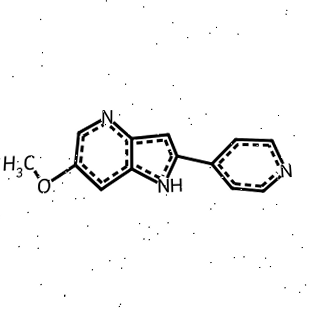 COc1cnc2cc(-c3ccncc3)[nH]c2c1